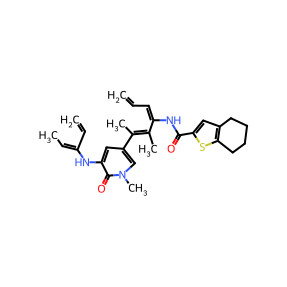 C=C/C=C(NC(=O)c1cc2c(s1)CCCC2)\C(C)=C(/C)c1cc(N/C(C=C)=C/C)c(=O)n(C)c1